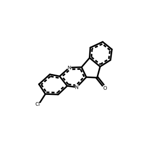 O=C1c2ccccc2-c2nc3ccc(Cl)cc3nc21